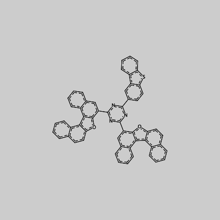 c1ccc2c(c1)ccc1oc3c(-c4nc(-c5ccc6sc7ccccc7c6c5)nc(-c5cc6ccccc6c6c5oc5ccc7ccccc7c56)n4)cc4ccccc4c3c12